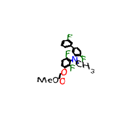 COC(=O)COc1ccc(F)c(N(C)c2cc(-c3cccc(F)c3)ccc2F)c1F